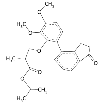 COc1ccc(-c2cccc3c2CCC3=O)c(OC[C@@H](C)C(=O)OC(C)C)c1OC